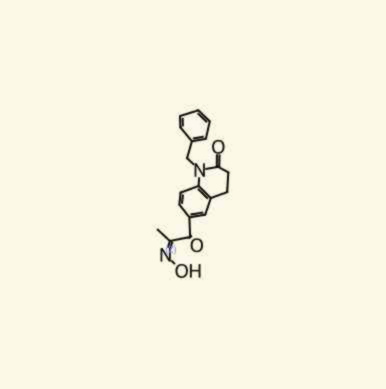 C/C(=N/O)C(=O)c1ccc2c(c1)CCC(=O)N2Cc1ccccc1